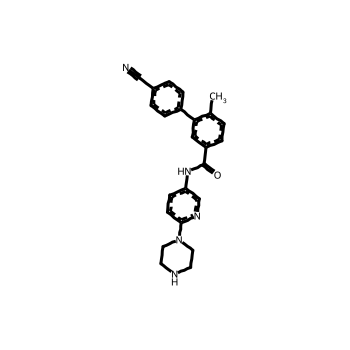 Cc1ccc(C(=O)Nc2ccc(N3CCNCC3)nc2)cc1-c1ccc(C#N)cc1